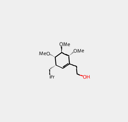 CO[C@@H]1[C@@H](OC)[C@H](OC)C(CCO)=C[C@@H]1CC(C)C